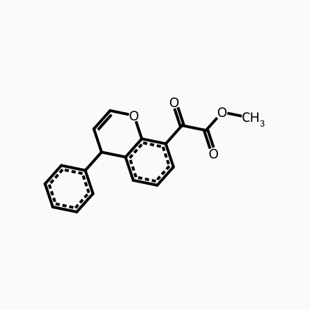 COC(=O)C(=O)c1cccc2c1OC=CC2c1ccccc1